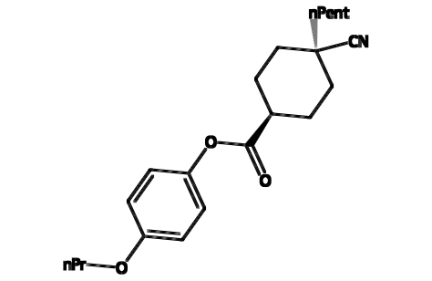 CCCCC[C@]1(C#N)CC[C@@H](C(=O)Oc2ccc(OCCC)cc2)CC1